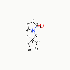 [CH2]C1(CN2CCCC2=O)CCCC1